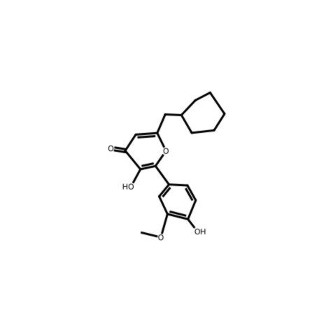 COc1cc(-c2oc(CC3CCCCC3)cc(=O)c2O)ccc1O